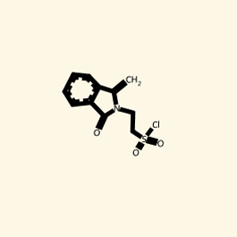 C=C1c2ccccc2C(=O)N1CCS(=O)(=O)Cl